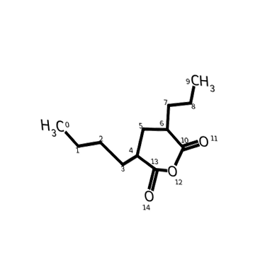 CCCCC1CC(CCC)C(=O)OC1=O